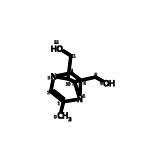 CC1=CN2CCN1C(CO)C2CO